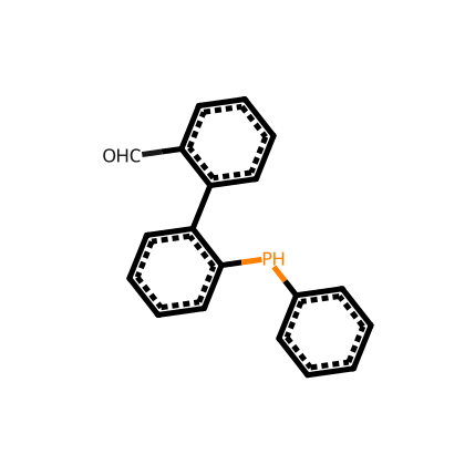 O=Cc1ccccc1-c1ccccc1Pc1ccccc1